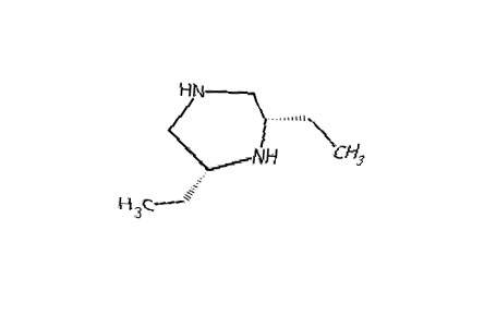 CC[C@@H]1CNC[C@H](CC)N1